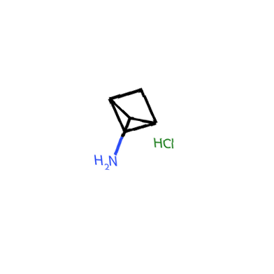 Cl.NC1C2CC1C2